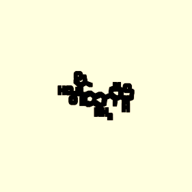 Cc1c(-c2cc(N)c3cnc(N(C(=O)O)[C@@H]4COC[C@H]4C)cc3c2)cnc2c1NCCO2